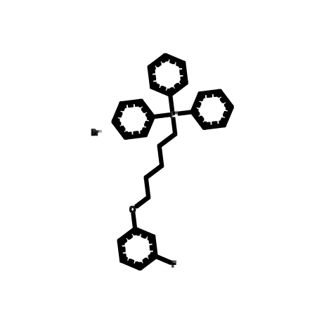 Fc1cccc(OCCCCC[P+](c2ccccc2)(c2ccccc2)c2ccccc2)c1.[Br-]